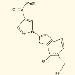 COC(=O)c1cnn(-c2cc3ccc(CC(C)C)c(C#N)c3s2)c1